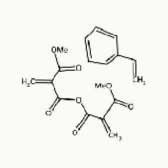 C=C(C(=O)OC)C(=O)OC(=O)C(=C)C(=O)OC.C=Cc1ccccc1